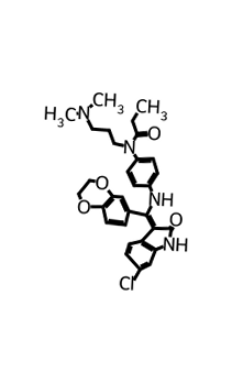 CCC(=O)N(CCCN(C)C)c1ccc(N/C(=C2\C(=O)Nc3cc(Cl)ccc32)c2ccc3c(c2)OCCO3)cc1